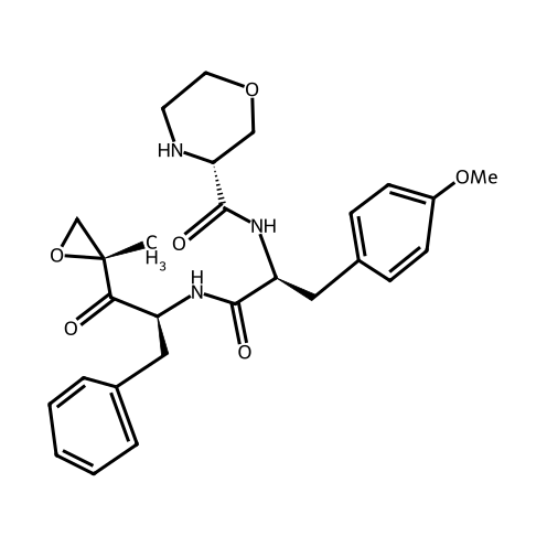 COc1ccc(C[C@H](NC(=O)[C@H]2COCCN2)C(=O)N[C@@H](Cc2ccccc2)C(=O)[C@@]2(C)CO2)cc1